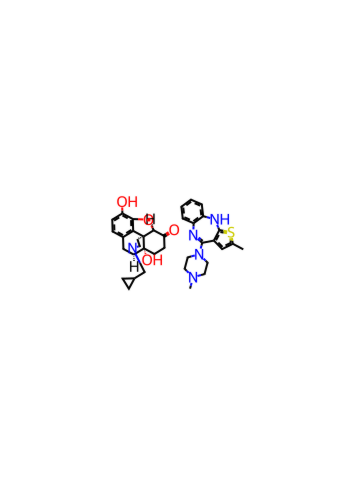 Cc1cc2c(s1)Nc1ccccc1N=C2N1CCN(C)CC1.O=C1CC[C@@]2(O)[C@H]3Cc4ccc(O)c5c4[C@@]2(CCN3CC2CC2)[C@H]1O5